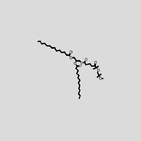 CCCCCCCCCCCCCC(=O)OCC(COC(=O)CCCC(=O)C(C)(C)OCC(C)(C)OC)OC(=O)CCCCCCCCCCCCC